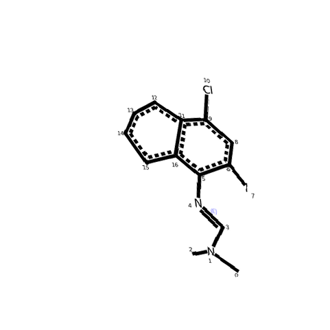 CN(C)/C=N/c1c(I)cc(Cl)c2ccccc12